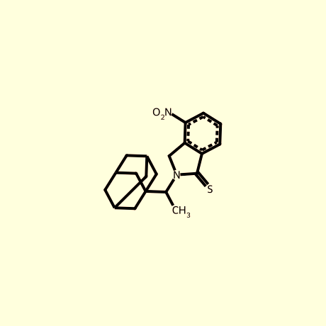 CC(N1Cc2c(cccc2[N+](=O)[O-])C1=S)C12CC3CC(CC(C3)C1)C2